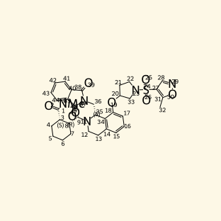 CNC(=O)[C@H]1CCCC[C@H]1C(=O)N1CCc2cccc(OC3CCN(S(=O)(=O)c4cnoc4C)C3)c2[C@H]1CN1C(=O)c2ccccc2C1=O